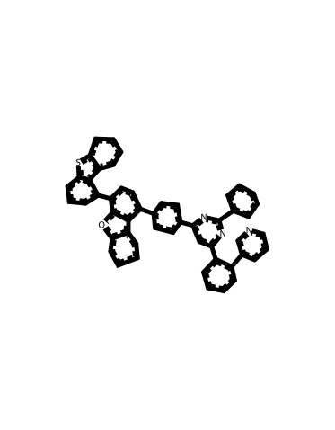 c1ccc(-c2nc(-c3ccc(-c4ccc(-c5cccc6sc7ccccc7c56)c5oc6ccccc6c45)cc3)cc(-c3ccccc3-c3cccnc3)n2)cc1